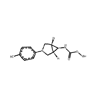 CC(C)(C)OC(=O)N[C@H]1[C@@H]2CN(c3ccc(C#N)cc3)C[C@@H]21